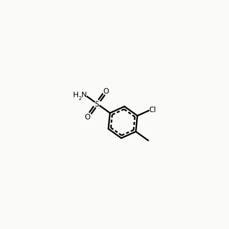 Cc1ccc(S(N)(=O)=O)cc1Cl